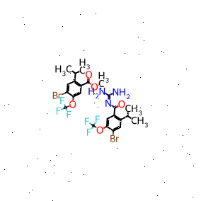 CC(C)c1cc(Br)c(OC(F)(F)F)cc1C(=O)N=C(N)N.COC(=O)c1cc(OC(F)(F)F)c(Br)cc1C(C)C